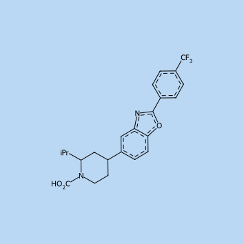 CC(C)C1CC(c2ccc3oc(-c4ccc(C(F)(F)F)cc4)nc3c2)CCN1C(=O)O